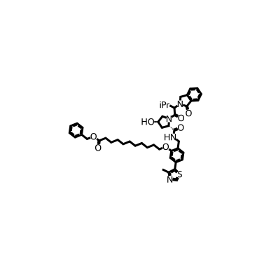 Cc1ncsc1-c1ccc(CNC(=O)[C@@H]2C[C@@H](O)CN2C(=O)C(C(C)C)N2Cc3ccccc3C2=O)c(OCCCCCCCCCCC(=O)OCc2ccccc2)c1